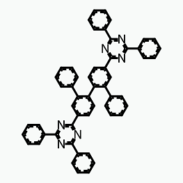 c1ccc(-c2nc(-c3ccccc3)nc(-c3ccc(-c4ccc(-c5nc(-c6ccccc6)nc(-c6ccccc6)n5)cc4-c4ccccc4)c(-c4ccccc4)c3)n2)cc1